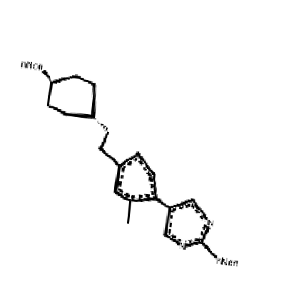 CCCCCCCCCc1ncc(-c2ccc(CC[C@H]3CC[C@H](CCCCCCCCC)CC3)cc2C)cn1